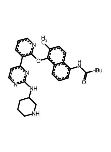 CC[C@H](C)C(=O)Nc1cccc2c(Oc3ncccc3-c3ccnc(NC4CCCNC4)n3)c(C)ccc12